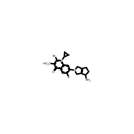 NC1CCC2=C1CN(c1cc3c(cc1F)c(=O)c(C(=O)O)c(Br)n3C1CC1)C2